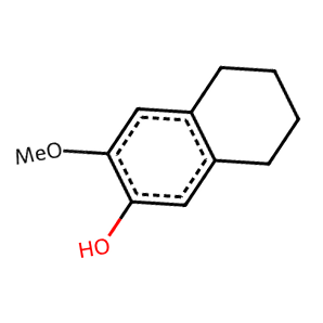 COc1cc2c(cc1O)CCCC2